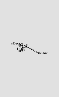 CCCCCCCCCCCC(=O)O[C@H](COC(=O)CCCCCCCCCCCNC(C)=O)COP(=O)(O)O